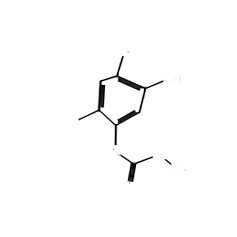 CCOC(=O)c1cc(Br)c(C)cc1NC(=O)OC(C)(C)C